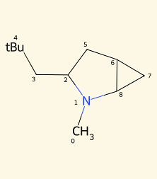 CN1C(CC(C)(C)C)CC2CC21